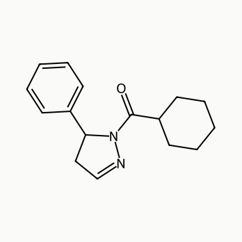 O=C(C1CCCCC1)N1N=CCC1c1ccccc1